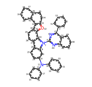 c1ccc(-c2nc(-n3c4cc(N(c5ccccc5)c5ccccc5)ccc4c4ccc5c(oc6ccc7ccccc7c65)c43)nc3ccccc23)cc1